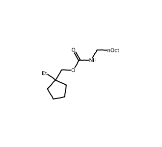 CCCCCCCCCNC(=O)OCC1(CC)CCCC1